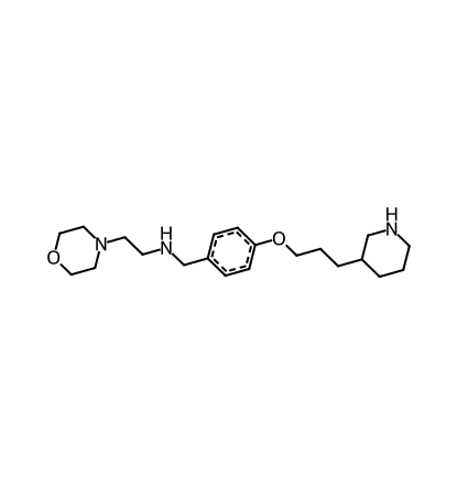 c1cc(OCCCC2CCCNC2)ccc1CNCCN1CCOCC1